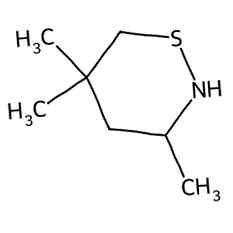 CC1CC(C)(C)CSN1